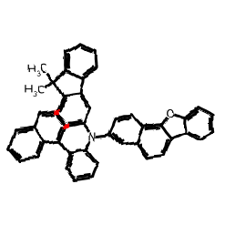 CC1(C)c2ccccc2-c2cc(N(c3ccc4c(ccc5c6ccccc6oc45)c3)c3ccccc3-c3cccc4ccccc34)ccc21